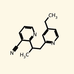 CCc1ccnc(CC(C)c2ncccc2C#N)c1